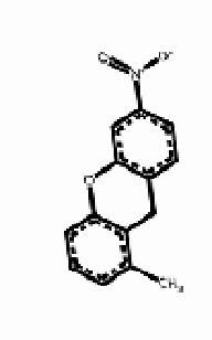 Cc1cccc2c1Cc1ccc([N+](=O)[O-])cc1O2